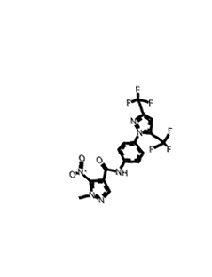 Cn1ncc(C(=O)Nc2ccc(-n3nc(C(F)(F)F)cc3C(F)(F)F)cc2)c1[N+](=O)[O-]